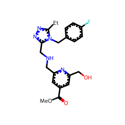 CCc1nnc(CNCc2cc(C(=O)OC)cc(CO)n2)n1Cc1ccc(F)cc1